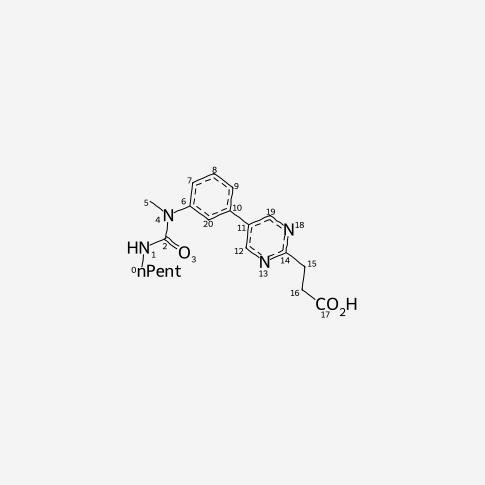 CCCCCNC(=O)N(C)c1cccc(-c2cnc(CCC(=O)O)nc2)c1